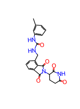 Cc1cccc(NC(=O)NCc2cccc3c2C(=O)N(C2CCC(=O)NC2=O)C3=O)c1